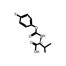 CC(C)[C@H](NC(=O)Oc1ccc(F)cc1)C(=O)O